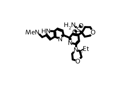 CC[C@H]1COCCN1c1cc(C2(S(N)(=O)=O)CCOCC2)cc(-c2ccc3[nH]c(CNC)cc3n2)n1